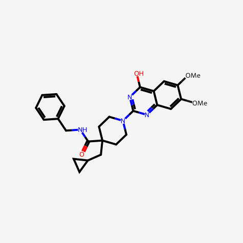 COc1cc2nc(N3CCC(CC4CC4)(C(=O)NCc4ccccc4)CC3)nc(O)c2cc1OC